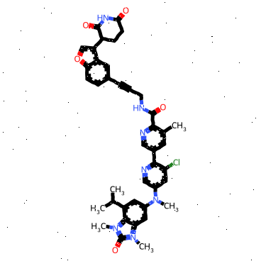 Cc1cc(-c2ncc(N(C)c3cc(C(C)C)c4c(c3)n(C)c(=O)n4C)cc2Cl)cnc1C(=O)NCC#Cc1ccc2occ(C3CCC(=O)NC3=O)c2c1